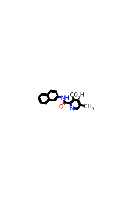 Cc1cnc(C(=O)Nc2ccc3ccccc3c2)c(C(=O)O)c1